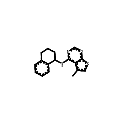 Cc1csc2ncnc(NC3CCCc4ccccc43)c12